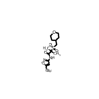 CC(C)(C)c1cc(NC(=O)C(C)(C)S(=O)(=O)CC2CCOCC2)no1